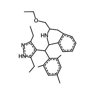 CCOCC1Cc2ccccc2C(C(c2c(C)cc(C)cc2C)c2c(CC)n[nH]c2CC)N1